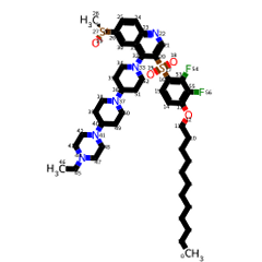 CCCCCCCCCCCCOc1ccc(S(=O)(=O)c2cnc3ccc([S@+](C)[O-])cc3c2N2CCC(N3CCC(N4CCN(CC)CC4)CC3)CC2)c(F)c1F